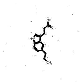 CCCc1ccc2[nH]cc(CCC(=O)O)c2c1